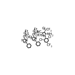 CCOP(=S)(OCC)Oc1ncn(-c2ccccc2)n1.CCOP(=S)(OCC)Oc1ncn(-c2ccccc2)n1.N#Cc1nn(-c2c(Cl)cc(C(F)(F)F)cc2Cl)c(N)c1[S+]([O-])C(F)(F)F